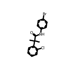 CC(C)(C(=O)Nc1ccc(Br)cc1)c1ccccc1Cl